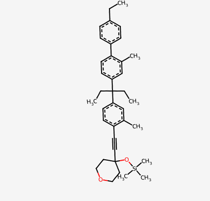 CCc1ccc(-c2ccc(C(CC)(CC)c3ccc(C#CC4(O[Si](C)(C)C)CCOCC4)c(C)c3)cc2C)cc1